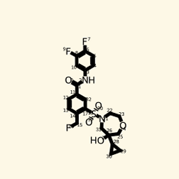 O=C(Nc1ccc(F)c(F)c1)c1ccc(CF)c(S(=O)(=O)N2CCOCC(O)(C3CC3)C2)c1